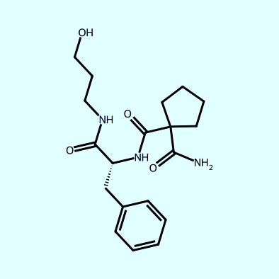 NC(=O)C1(C(=O)N[C@H](Cc2ccccc2)C(=O)NCCCO)CCCC1